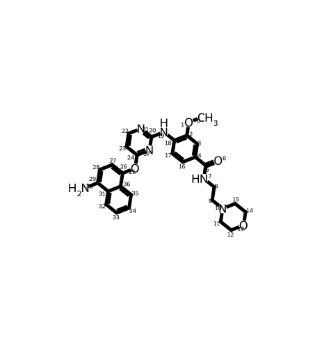 COc1cc(C(=O)NCCN2CCOCC2)ccc1Nc1nccc(Oc2ccc(N)c3ccccc23)n1